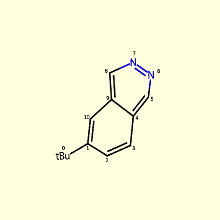 CC(C)(C)c1ccc2cnncc2c1